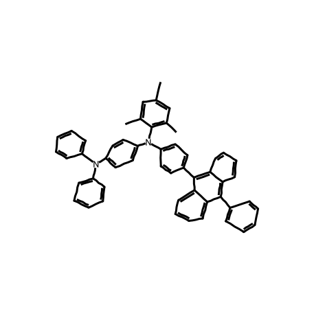 Cc1cc(C)c(N(c2ccc(-c3c4ccccc4c(-c4ccccc4)c4ccccc34)cc2)c2ccc(N(c3ccccc3)c3ccccc3)cc2)c(C)c1